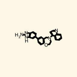 Nc1nc2ccc(-c3ccc4c(c3)CN(c3ccnc5ccccc35)CCO4)cc2[nH]1